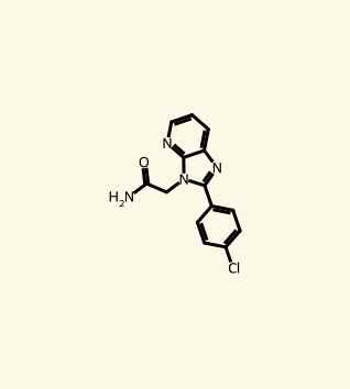 NC(=O)Cn1c(-c2ccc(Cl)cc2)nc2cccnc21